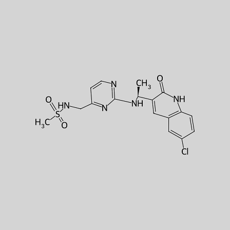 C[C@H](Nc1nccc(CNS(C)(=O)=O)n1)c1cc2cc(Cl)ccc2[nH]c1=O